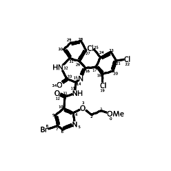 COCCOc1ncc(Br)cc1C(=O)NC1N=C(c2c(Cl)cc(Cl)cc2Cl)c2ccccc2NC1=O